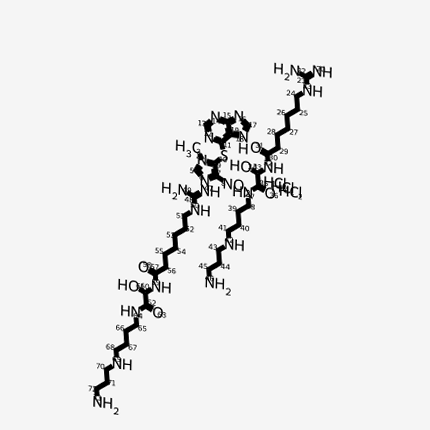 Cl.Cl.Cl.Cn1cnc([N+](=O)[O-])c1Sc1ncnc2nc[nH]c12.N=C(N)NCCCCCCC(=O)NC(O)C(=O)NCCCCNCCCN.N=C(N)NCCCCCCC(=O)NC(O)C(=O)NCCCCNCCCN